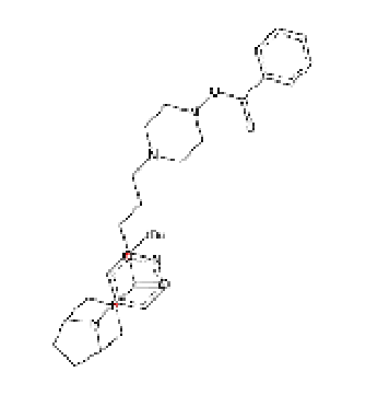 CC(C)(C)OC(=O)N1CC2CCC(C1)N2c1ccnc(CCCN2CCN(OC(=O)c3ccccc3)CC2)c1